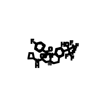 O=C(C[C@@H]1CCc2cc(C(O)(C(F)(F)F)C(F)(F)F)ccc2N1S(=O)(=O)c1ccc(F)cc1)NC1CCC1